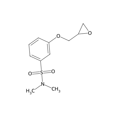 CN(C)S(=O)(=O)c1cccc(OCC2CO2)c1